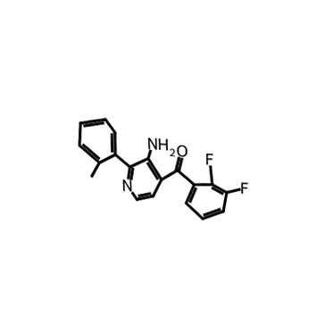 Cc1ccccc1-c1nccc(C(=O)c2cccc(F)c2F)c1N